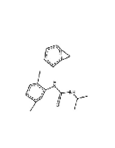 Cc1ccc(C)c(NC(=O)NC(C)C)c1.c1ccc2c(c1)C2